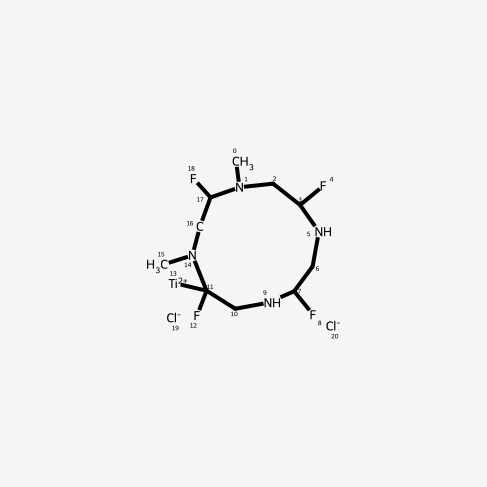 CN1CC(F)NCC(F)NC[C](F)([Ti+2])N(C)CC1F.[Cl-].[Cl-]